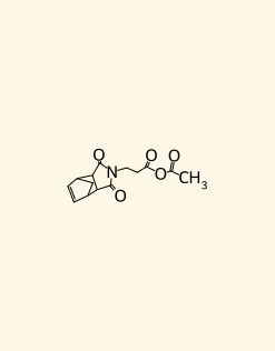 CC(=O)OC(=O)CCN1C(=O)C2C3C=CC(C3)C2C1=O